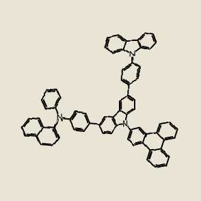 c1ccc(N(c2ccc(-c3ccc4c(c3)c3cc(-c5ccc(-n6c7ccccc7c7ccccc76)cc5)ccc3n4-c3ccc4c5ccccc5c5ccccc5c4c3)cc2)c2cccc3ccccc23)cc1